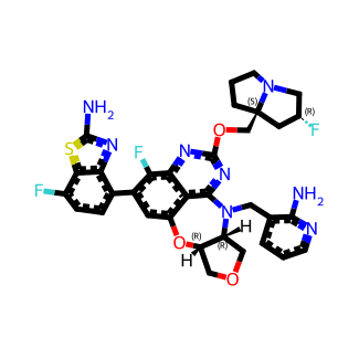 Nc1nc2c(-c3cc4c5c(nc(OC[C@@]67CCCN6C[C@H](F)C7)nc5c3F)N(Cc3cccnc3N)[C@@H]3COC[C@@H]3O4)ccc(F)c2s1